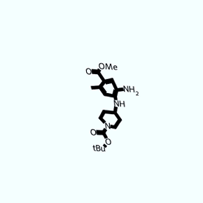 COC(=O)c1cc(N)c(NC2CCN(C(=O)OC(C)(C)C)CC2)cc1C